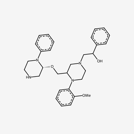 COc1ccccc1N1CCN(CC(O)c2ccccc2)CC1CO[C@@H]1CNCCN1c1ccccc1